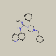 N#CN=C(Nc1cccc2ncccc12)N1CCN(Cc2ccccc2)CC1c1ccccc1